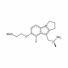 COCCOc1ccc2c(c1F)c(C[C@H](C)N)c1n2CCC1